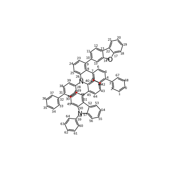 c1ccc(-c2ccc(-c3c(-c4ccc5c(c4)oc4ccccc45)cccc3N(c3ccc(-c4ccccc4)cc3)c3ccccc3-c3cccc4c3c3ccccc3n4-c3ccccc3)cc2)cc1